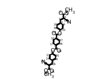 COC(=O)/C(C#N)=C/c1ccc(OC(=O)c2ccc(C(=O)Oc3ccc(/C=C(\C#N)C(=O)OC)cc3)cc2)cc1